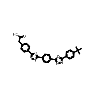 CC(C)(C)c1ccc(-c2nnc(-c3ccc(-c4nnc(-c5ccc(CC(=O)O)cc5)o4)cc3)o2)cc1